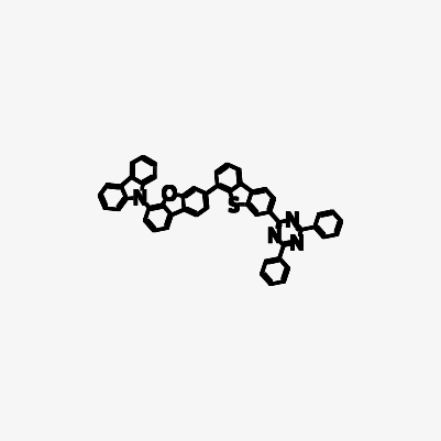 c1ccc(-c2nc(-c3ccccc3)nc(-c3ccc4c(c3)sc3c(-c5ccc6c(c5)oc5c(-n7c8ccccc8c8ccccc87)cccc56)cccc34)n2)cc1